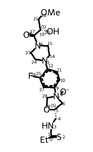 CCC(=S)NC[C@H]1C[N+]([O-])(c2ccc(N3CCN(C(=O)[C@@H](O)COC)CC3)c(F)c2)CO1